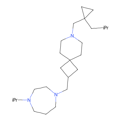 CC(C)CC1(CN2CCC3(CC2)CC(CN2CCCN(C(C)C)CC2)C3)CC1